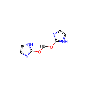 B(Oc1ncc[nH]1)Oc1ncc[nH]1